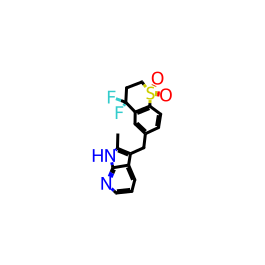 Cc1[nH]c2ncccc2c1Cc1ccc2c(c1)C(F)(F)CCS2(=O)=O